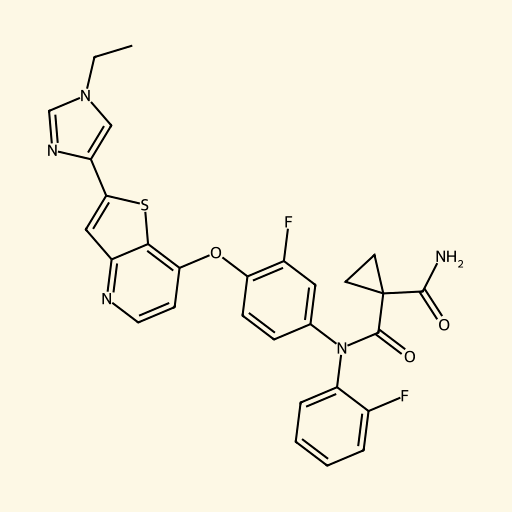 CCn1cnc(-c2cc3nccc(Oc4ccc(N(C(=O)C5(C(N)=O)CC5)c5ccccc5F)cc4F)c3s2)c1